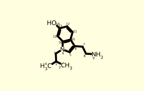 CC(C)Cn1cc(CCN)c2ccc(O)cc21